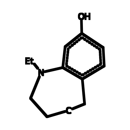 CCN1CCCCc2ccc(O)cc21